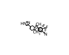 CN(c1ccc(C#N)c(C(F)(F)F)c1)C1CC(c2c[nH]cn2)=CCC1(C)C